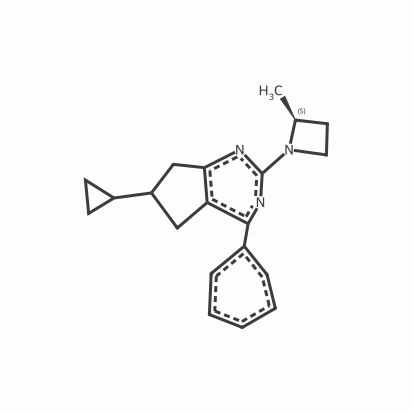 C[C@H]1CCN1c1nc2c(c(-c3ccccc3)n1)CC(C1CC1)C2